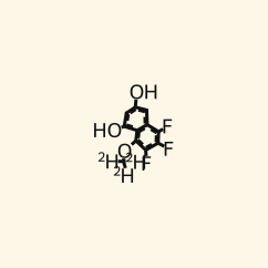 [2H]C([2H])([2H])Oc1c(F)c(F)c(F)c2cc(O)cc(O)c12